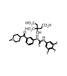 CN1CCC(C(=O)c2cccc(NC(=S)Nc3cc(F)c(F)c(F)c3)c2)CC1.O=C(O)CC(O)(CC(=O)O)C(=O)O